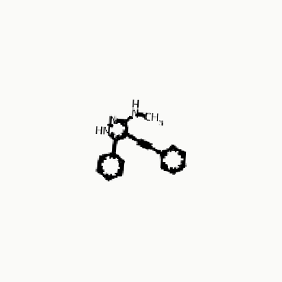 CNc1n[nH]c(-c2ccccc2)c1C#Cc1ccccc1